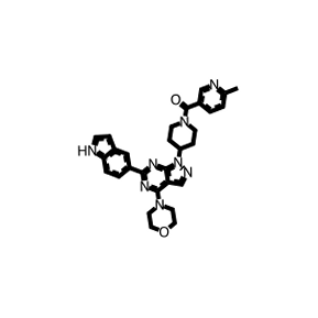 Cc1ccc(C(=O)N2CCC(n3ncc4c(N5CCOCC5)nc(-c5ccc6[nH]ccc6c5)nc43)CC2)cn1